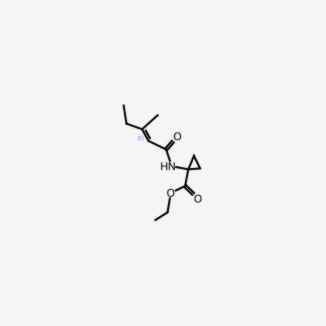 CCOC(=O)C1(NC(=O)/C=C(\C)CC)CC1